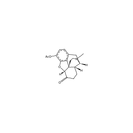 CC(=O)Oc1ccc2c3c1O[C@H]1C(=O)CC[C@H]4[C@@H](C2)N(C)CC[C@]314